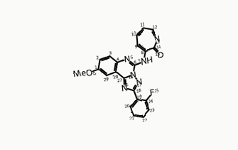 COc1ccc2nc(Nc3ccccnc3=O)n3nc(-c4ccccc4F)nc3c2c1